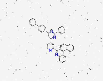 c1ccc(-c2ccc(-c3cc(-c4ccnc(-c5nc6ccccc6c6c5ccc5ccccc56)c4)nc(-c4ccccc4)n3)cc2)cc1